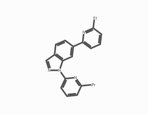 CCc1cccc(-c2ccc3cnn(-c4cccc(C(C)C)n4)c3c2)n1